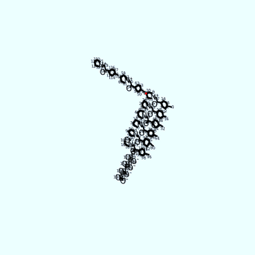 Cc1ccc(C(=O)C[n+]2ccccc2)cc1.Cc1ccc(C(=O)C[n+]2ccccc2)cc1.Cc1ccc(C(=O)C[n+]2ccccc2)cc1.Cc1ccc(C(=O)C[n+]2ccccc2)cc1.Cc1ccc(C(=O)C[n+]2ccccc2)cc1.Cc1ccc(C(=O)C[n+]2ccccc2)cc1.Cc1ccc(C(=O)C[n+]2ccccc2)cc1.Cc1ccc(C(=O)C[n+]2ccccc2)cc1.[O-]B([O-])F.[O-]B([O-])F.[O-]B([O-])F.[O-]B([O-])F